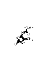 COC(=O)[N]c1oc(=O)oc1C